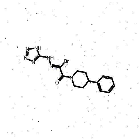 O=C(/C(Br)=N/Nc1nnn[nH]1)N1CCC(c2ccccc2)CC1